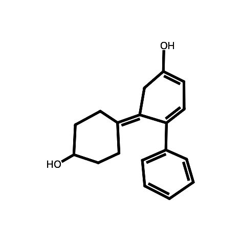 OC1=CC=C(c2ccccc2)C(=C2CCC(O)CC2)C1